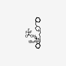 CC(C)(C)NC(=O)N(CCCN1CCC(Cc2ccccc2)CC1)Cc1ccccc1.O=C(O)C(F)(F)F